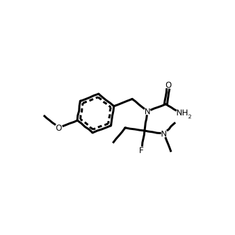 CCC(F)(N(C)C)N(Cc1ccc(OC)cc1)C(N)=O